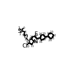 C[Si](C)(C)CCOCn1c(Cl)cc2nc(-c3ccc(-c4ccccc4)cc3)c(F)cc21